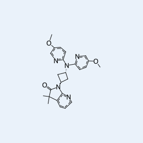 COc1ccc(N(c2ccc(OC)cn2)[C@H]2C[C@H](N3C(=O)C(C)(C)c4cccnc43)C2)nc1